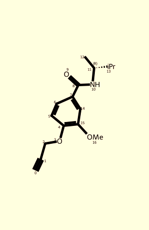 C#CCOc1ccc(C(=O)N[C@H](C)C(C)C)cc1OC